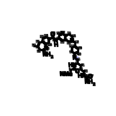 CNCC(=O)NC(/C=N/c1ccc(CN2CCc3ncc(NC(=O)c4ccc5c(c4)N=C(N)CC(C)=C5)cc3C2)cc1)CCCNC(N)=O